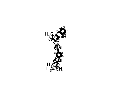 CN(C(=O)CSc1nnc(-c2ccc(NC(=O)OC(C)(C)C)cc2)o1)[C@@H](Cc1ccccc1)C(=O)O